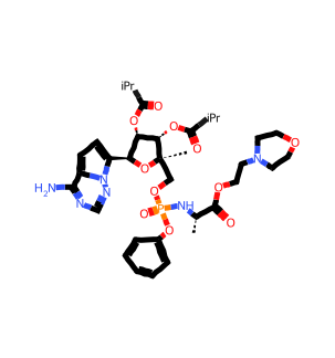 CC(C)C(=O)O[C@H]1[C@H](c2ccc3c(N)ncnn23)O[C@](C)(COP(=O)(N[C@@H](C)C(=O)OCCN2CCOCC2)Oc2ccccc2)[C@H]1OC(=O)C(C)C